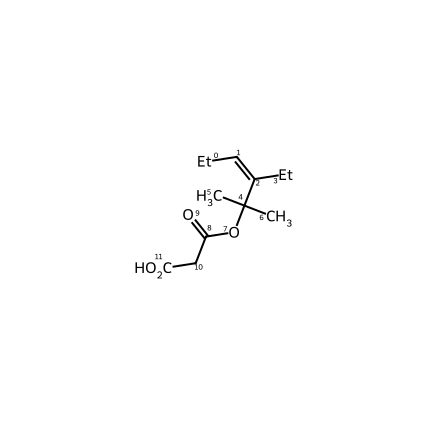 CCC=C(CC)C(C)(C)OC(=O)CC(=O)O